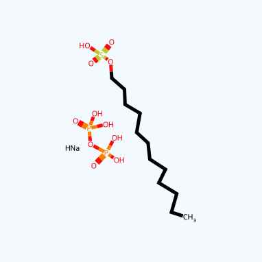 CCCCCCCCCCCCOS(=O)(=O)O.O=P(O)(O)OP(=O)(O)O.[NaH]